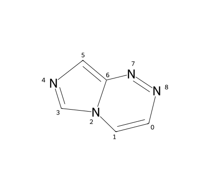 c1cn2cncc2nn1